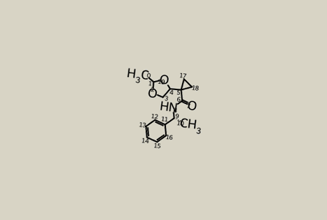 CC1OCC(C2(C(=O)N[C@H](C)c3ccccc3)CC2)O1